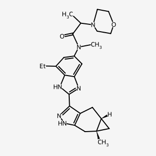 CCc1cc(N(C)C(=O)C(C)N2CCOCC2)cc2nc(-c3n[nH]c4c3C[C@@H]3C[C@]3(C)C4)[nH]c12